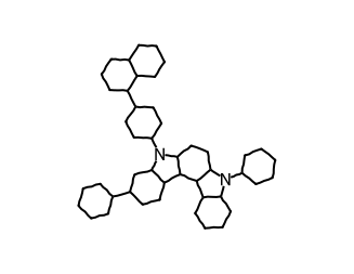 C1CCC(C2CCC3C4C5C6CCCCC6N(C6CCCCC6)C5CCC4N(C4CCC(C5CCCC6CCCCC65)CC4)C3C2)CC1